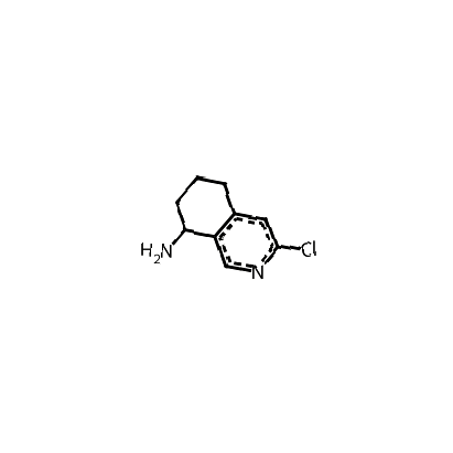 NC1CCCc2cc(Cl)ncc21